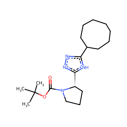 CC(C)(C)OC(=O)N1CCC[C@H]1c1nnc(C2CCCCCCC2)[nH]1